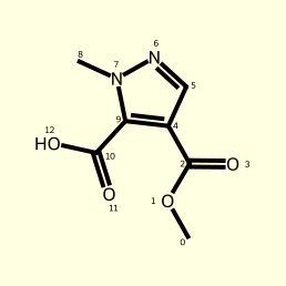 COC(=O)c1cnn(C)c1C(=O)O